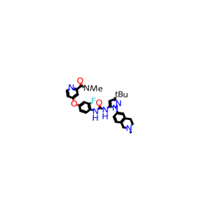 CNC(=O)c1cc(Oc2ccc(NC(=O)Nc3cc(C(C)(C)C)nn3-c3ccc4c(c3)CCN(C)C4)c(F)c2)ccn1